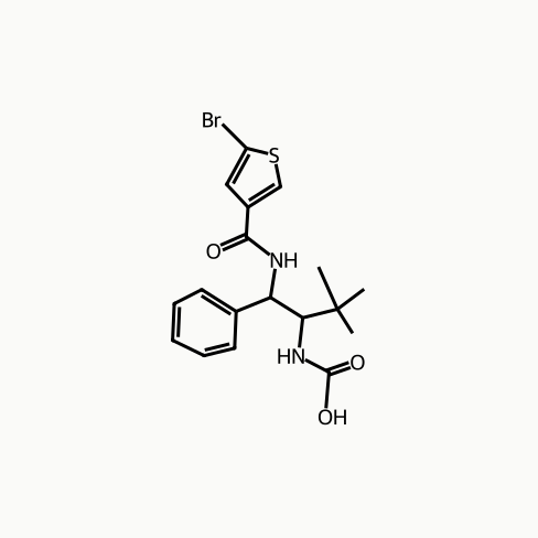 CC(C)(C)C(NC(=O)O)C(NC(=O)c1csc(Br)c1)c1ccccc1